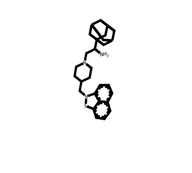 NC(CN1CCC(CN2Sc3cccc4cccc2c34)CC1)C12CC3CC(CC(C3)C1)C2